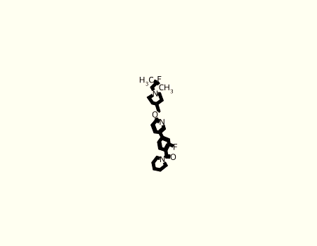 CC(C)(F)CN1CCC(COc2ccc(-c3ccc(C(=O)N4CCCCC4)c(F)c3)cn2)CC1